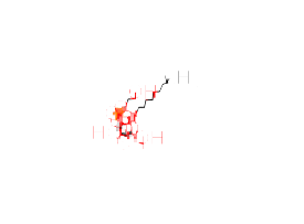 CCCCCCCCCCOC1O[C@H](CO)[C@@H](O)[C@H](O)[C@H]1OP(=O)(O)OCCCO